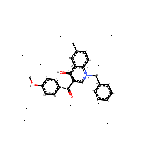 COc1ccc(C(=O)c2cn(Cc3ccccc3)c3ccc(C)cc3c2=O)cc1